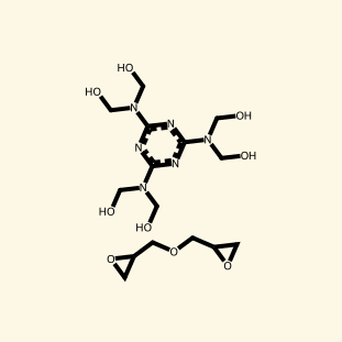 C(OCC1CO1)C1CO1.OCN(CO)c1nc(N(CO)CO)nc(N(CO)CO)n1